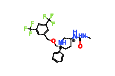 CNC(=O)N[C@H]1CC[C@@](COCc2cc(C(F)(F)F)cc(C(F)(F)F)c2)(c2ccccc2)NC1